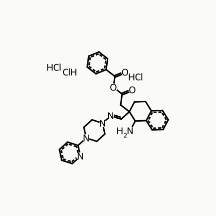 Cl.Cl.Cl.NC1c2ccccc2CCC1(C=NN1CCN(c2ccccn2)CC1)CC(=O)OC(=O)c1ccccc1